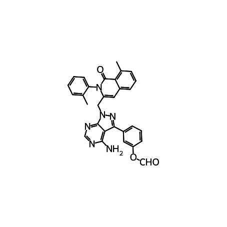 Cc1ccccc1-n1c(Cn2nc(-c3cccc(OC=O)c3)c3c(N)ncnc32)cc2cccc(C)c2c1=O